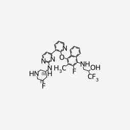 Cc1c(F)c(NCC(O)C(F)(F)F)c2ccccc2c1Oc1ncccc1-c1ccnc(N[C@@H]2CNC[C@@H](F)C2)n1